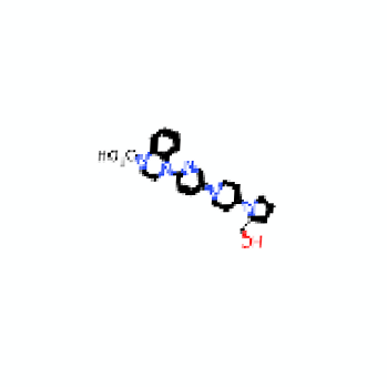 O=C(O)N1CCN(c2ccc(N3CCC(N4CCC[C@@H]4CO)CC3)cn2)c2ccccc21